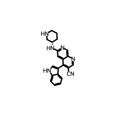 N#Cc1cnc2cnc(N[C@H]3CCCNC3)cc2c1-c1c[nH]c2ccccc12